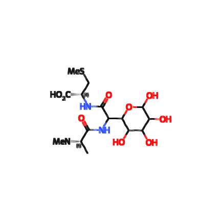 CN[C@@H](C)C(=O)NC(C(=O)N[C@@H](CSC)C(=O)O)C1OC(O)C(O)C(O)C1O